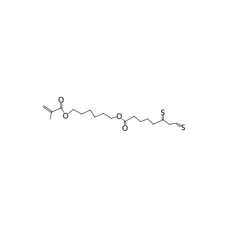 C=C(C)C(=O)OCCCCCCOC(=O)CCCCC(=S)CC=S